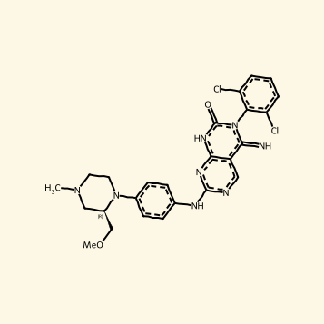 COC[C@H]1CN(C)CCN1c1ccc(Nc2ncc3c(=N)n(-c4c(Cl)cccc4Cl)c(=O)[nH]c3n2)cc1